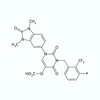 Cn1c(=O)n(C)c2cc(-n3cc(OC(=O)O)c(=O)n(Cc4cccc(F)c4C(F)(F)F)c3=O)ccc21